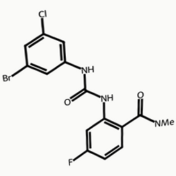 CNC(=O)c1ccc(F)cc1NC(=O)Nc1cc(Cl)cc(Br)c1